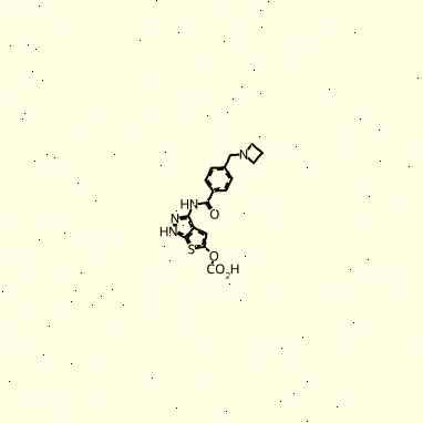 O=C(O)Oc1cc2c(NC(=O)c3ccc(CN4CCC4)cc3)n[nH]c2s1